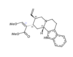 C=C[C@H]1CN2CCc3c([nH]c4ccccc34)[C@@H]2C[C@@H]1/C(=C/OC)C(=O)OC